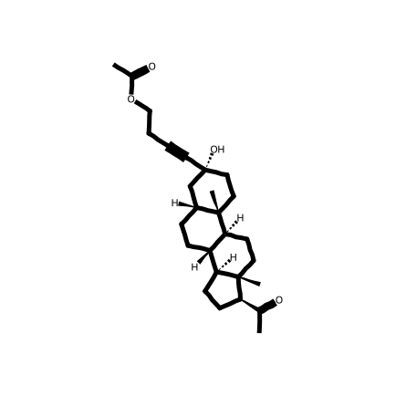 CC(=O)OCCC#C[C@@]1(O)CC[C@@]2(C)[C@H](CC[C@@H]3[C@@H]2CC[C@]2(C)[C@@H](C(C)=O)CC[C@@H]32)C1